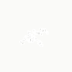 C[Si](C)(C)CCOC(=O)N[C@@H](CCC(=O)NCCN)C(=O)OCC[Si](C)(C)Cl